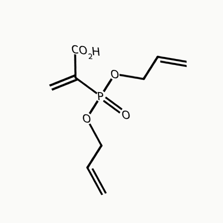 C=CCOP(=O)(OCC=C)C(=C)C(=O)O